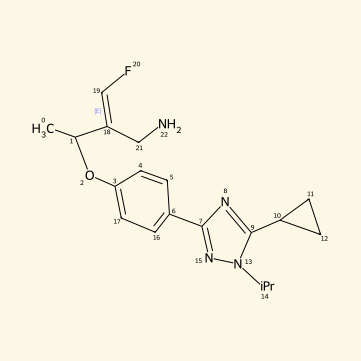 CC(Oc1ccc(-c2nc(C3CC3)n(C(C)C)n2)cc1)/C(=C/F)CN